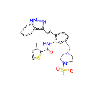 Cc1ccsc1C(=O)Nc1cc(CN2CCN(S(C)(=O)=O)CC2)ccc1/C=C/c1n[nH]c2ccccc12